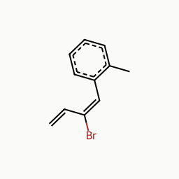 C=C/C(Br)=C\c1ccccc1C